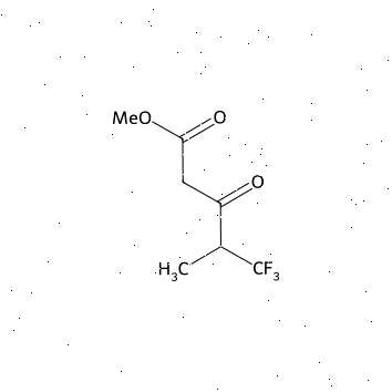 COC(=O)CC(=O)C(C)C(F)(F)F